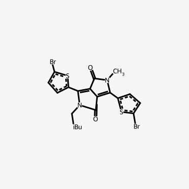 CCC(C)CN1C(=O)C2=C(c3ccc(Br)s3)N(C)C(=O)C2=C1c1ccc(Br)s1